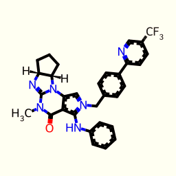 CN1C(=O)c2c(cn(Cc3ccc(-c4ccc(C(F)(F)F)cn4)cc3)c2Nc2ccccc2)N2C1=N[C@@H]1CCC[C@@H]12